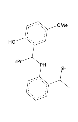 CCCC(Pc1ccccc1C(C)S)c1cc(OC)ccc1O